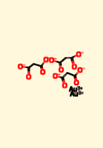 O=C([O-])CC(=O)[O-].O=C([O-])CC(=O)[O-].O=C([O-])CC(=O)[O-].[Au+3].[Au+3]